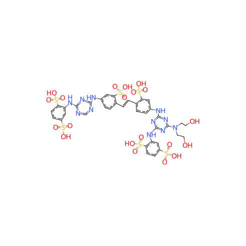 O=S(=O)(O)c1ccc(S(=O)(=O)O)c(Nc2ncnc(Nc3ccc(/C=C/c4ccc(Nc5nc(Nc6cc(S(=O)(=O)O)ccc6S(=O)(=O)O)nc(N(CCO)CCO)n5)cc4S(=O)(=O)O)c(S(=O)(=O)O)c3)n2)c1